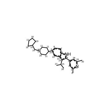 Cc1cc(-c2[nH]c3ccc(C4CCN(CC5CCCC5)CC4)cc3c2C(C)C)cc(C)n1